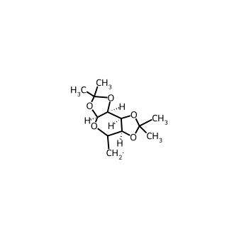 [CH2]C1O[C@H]2OC(C)(C)O[C@H]2[C@H]2OC(C)(C)O[C@@H]12